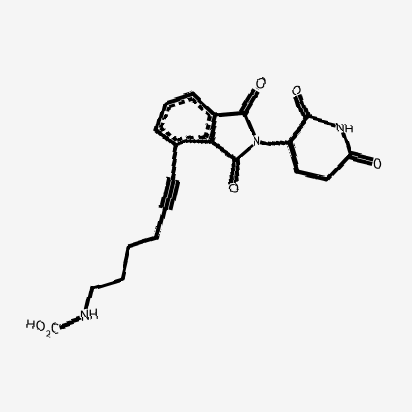 O=C(O)NCCCCC#Cc1cccc2c1C(=O)N(C1CCC(=O)NC1=O)C2=O